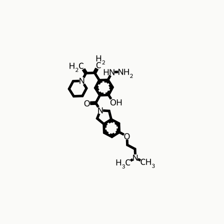 C=C(C(=C)N1CCCCC1)c1cc(C(=O)N2Cc3ccc(OCCN(C)C)cc3C2)c(O)cc1NN